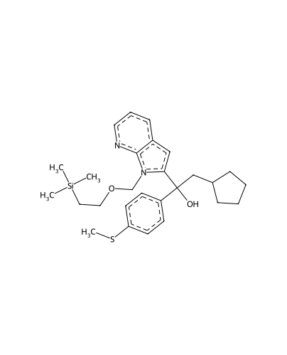 CSc1ccc(C(O)(CC2CCCC2)c2cc3cccnc3n2COCC[Si](C)(C)C)cc1